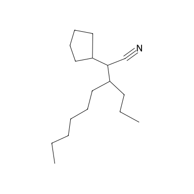 CCCCCCC(CCC)C(C#N)C1CCCC1